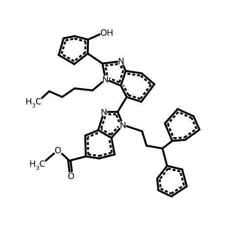 CCCCCn1c(-c2ccccc2O)nc2cccc(-c3nc4cc(C(=O)OC)ccc4n3CCC(c3ccccc3)c3ccccc3)c21